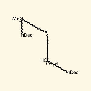 CCCCCCCCCCCCCCCCCCCCCCCC[C@@H](C(=O)O)[C@H](O)CCCCCCCCCCCCCCCCC[C@H]1C[C@H]1CCCCCCCCCCCCCCCC[C@H](OC)[C@H](C)CCCCCCCCCCCCCCCCCC